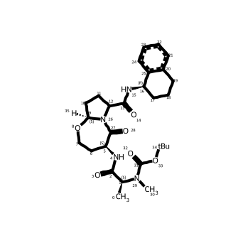 C[C@@H](C(=O)N[C@H]1CCO[C@H]2CCC(C(=O)N[C@@H]3CCCc4ccccc43)N2C1=O)N(C)C(=O)OC(C)(C)C